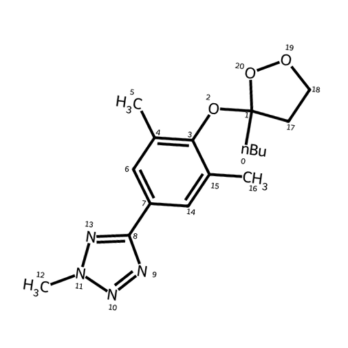 CCCCC1(Oc2c(C)cc(-c3nnn(C)n3)cc2C)CCOO1